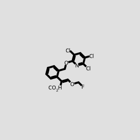 O=C(O)C(=COCF)c1ccccc1COc1nc(Cl)c(Cl)cc1Cl